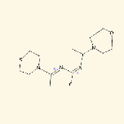 C/C(=N\C(Cl)=N/C(C)N1CCOCC1)N1CCSCC1